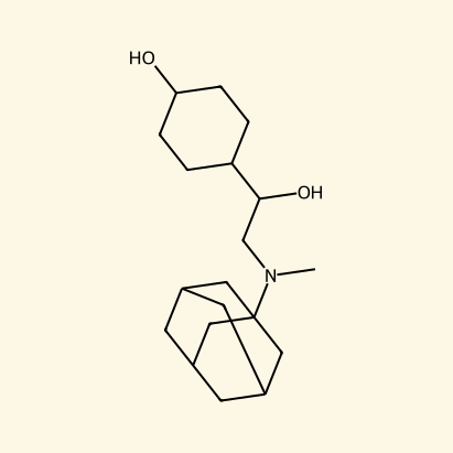 CN(CC(O)C1CCC(O)CC1)C12CC3CC(CC(C3)C1)C2